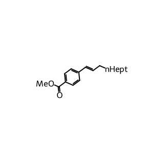 CCCCCCCCC=Cc1ccc(C(=O)OC)cc1